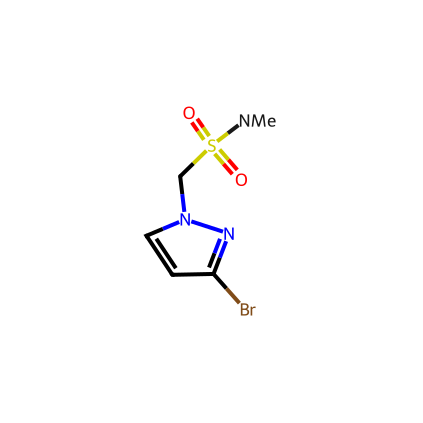 CNS(=O)(=O)Cn1ccc(Br)n1